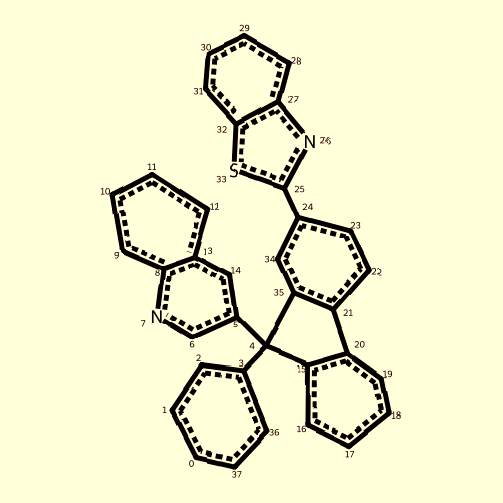 c1ccc(C2(c3cnc4ccccc4c3)c3ccccc3-c3ccc(-c4nc5ccccc5s4)cc32)cc1